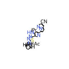 CC(=O)N[C@H]1[C@@H]2CC[C@H]1CN(c1nnc(-c3cnc(-c4ccc5cc(C#N)cnn45)cc3NC(C)C)s1)C2